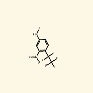 FNc1ccc(C(F)(F)C(F)(F)F)c(N(F)F)c1